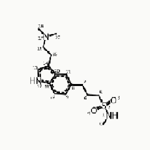 CNS(=O)(=O)CCCc1ccc2[nH]cc(CCN(C)C)c2c1